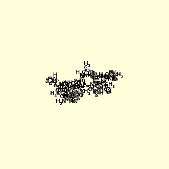 CC(C)C[C@@H]1NC(=O)[C@H](Cc2ccc(O)cc2)N[C@@H](CNC(=O)[C@H](C)NC(=O)[C@H](CO)NC(=O)[C@H](CC(N)=O)NC(=O)[C@H](CC(C)C)NC(=O)[C@@H](NC(=O)[C@H](Cc2c[nH]c3ccccc23)NC(=O)CN)[C@@H](C)O)CCN(CC(=O)N2CCC[C@H]2C(=O)N[C@@H](CC2C=NC=N2)C(=O)N[C@@H](C)C(=O)N[C@H](C(N)=O)C(C)C)C(=O)[C@H](CC(C)C)NC1=O